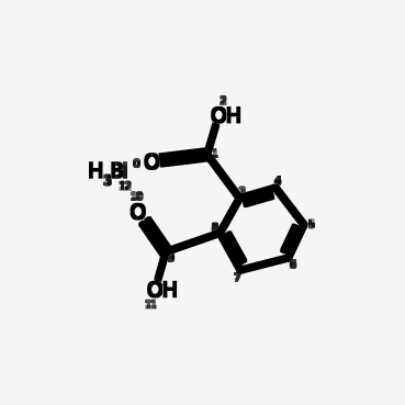 O=C(O)c1ccccc1C(=O)O.[BiH3]